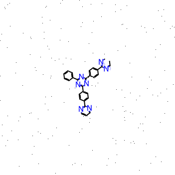 C/C=N\C(=N/C)c1ccc(-c2nc(-c3ccccc3)nc(-c3ccc(-c4ncccn4)cc3)n2)cc1